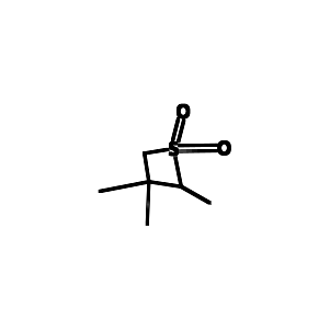 CC1C(C)(C)CS1(=O)=O